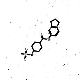 CS(=O)(=O)NC1CCC(C(=O)Nc2ccc3c(c2)CCC3)CC1